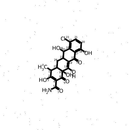 CC1C(O)=C(C(N)=O)C(=O)C2(O)C(O)=C3C(=O)c4c(O)ccc(Cl)c4C(O)C3CC12